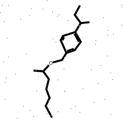 CCCCCC(C)OCc1ccc(C(C)CC)cc1